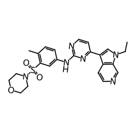 CCn1cc(-c2ccnc(Nc3ccc(C)c(S(=O)(=O)N4CCOCC4)c3)n2)c2ccncc21